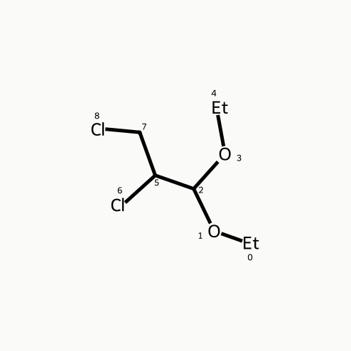 CCOC(OCC)C(Cl)CCl